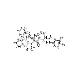 O=C(Nc1ccc(F)c(F)c1)N1CCc2nc(NCc3ccccc3Cc3ccccn3)n(-c3ccccc3)c(=O)c2C1